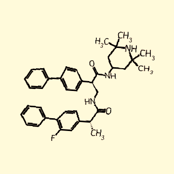 C[C@@H](C(=O)NC[C@H](C(=O)NC1CC(C)(C)NC(C)(C)C1)c1ccc(-c2ccccc2)cc1)c1ccc(-c2ccccc2)c(F)c1